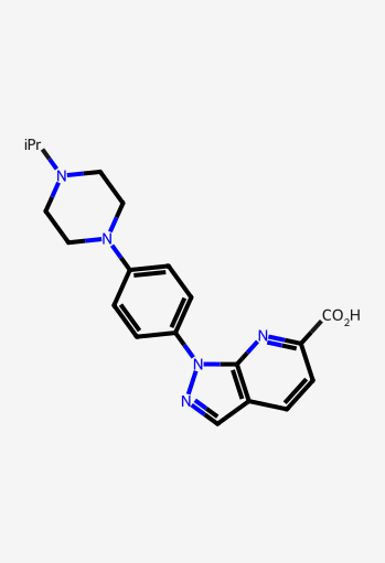 CC(C)N1CCN(c2ccc(-n3ncc4ccc(C(=O)O)nc43)cc2)CC1